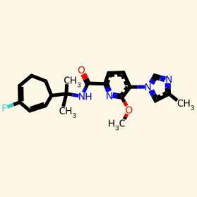 COc1nc(C(=O)NC(C)(C)C2C=CC(F)=CCC2)ccc1-n1cnc(C)c1